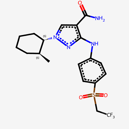 C[C@H]1CCCC[C@@H]1n1cc(C(N)=O)c(Nc2ccc(S(=O)(=O)CC(F)(F)F)cc2)n1